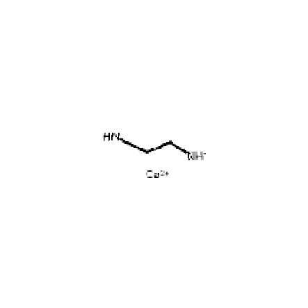 [Ca+2].[NH-]CC[NH-]